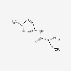 Cc1ccc(NC(=O)C(N)CC(F)(F)F)cc1